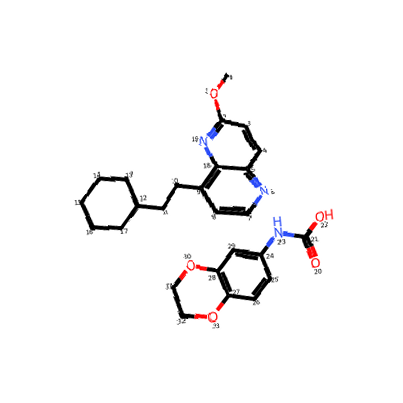 COc1ccc2nccc(CCC3CCCCC3)c2n1.O=C(O)Nc1ccc2c(c1)OCCO2